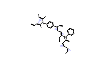 C=C/C=C(\C)N(/C(C)=C/C)c1ccc(/C(C=C)=C/C=C(\C=C)N(C(=C)/C=C\C=C/C)c2ccccc2)cc1